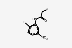 O=C(CF)Nc1cc([N+](=O)[O-])ccc1F